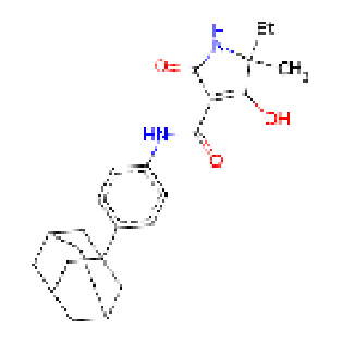 CCC1(C)NC(=O)C(C(=O)Nc2ccc(C34CC5CC(CC(C5)C3)C4)cc2)=C1O